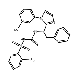 Cc1cccc(-n2ccnc2C(Cc2ccccc2)NC(=O)NS(=O)(=O)c2ccccc2C)c1